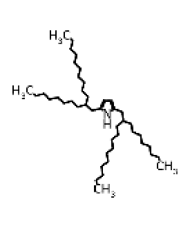 CCCCCCCCCCC(CCCCCCCC)Cc1ccc(CC(CCCCCCCC)CCCCCCCCCC)[nH]1